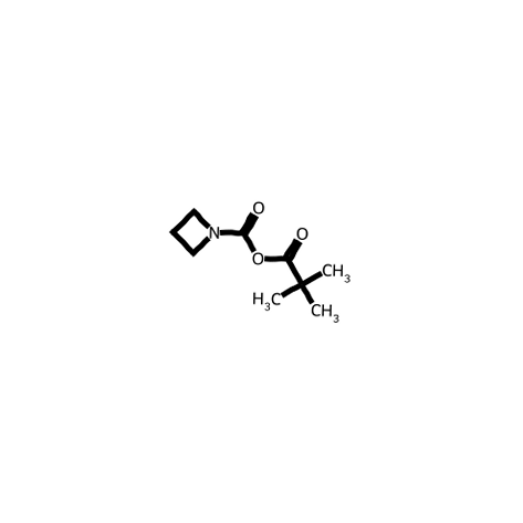 CC(C)(C)C(=O)OC(=O)N1CCC1